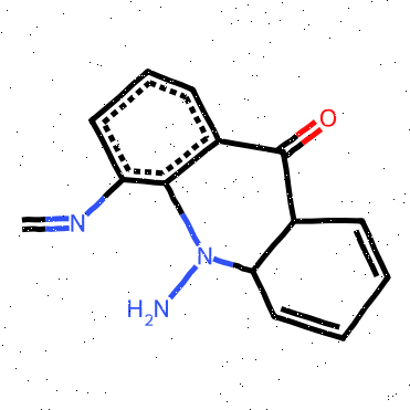 C=Nc1cccc2c1N(N)C1C=CC=CC1C2=O